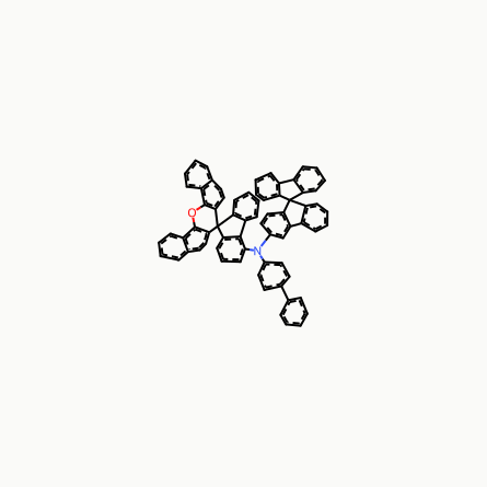 c1ccc(-c2ccc(N(c3ccc4c(c3)-c3ccccc3C43c4ccccc4-c4ccccc43)c3cccc4c3-c3ccccc3C43c4ccc5ccccc5c4Oc4c3ccc3ccccc43)cc2)cc1